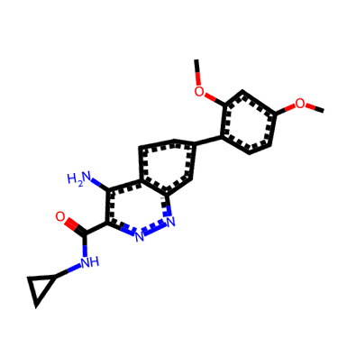 COc1ccc(-c2ccc3c(N)c(C(=O)NC4CC4)nnc3c2)c(OC)c1